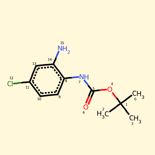 CC(C)(C)OC(=O)Nc1ccc(Cl)cc1N